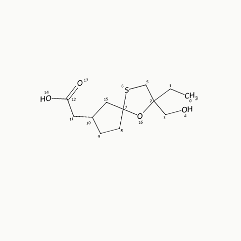 CCC1(CO)CSC2(CCC(CC(=O)O)C2)O1